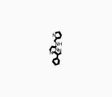 c1ccc(-c2cnn3c(NCc4ccccn4)ccnc23)cc1